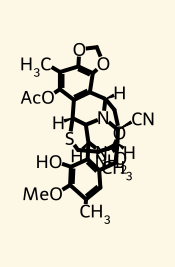 COc1c(C)cc2c(c1O)[C@@H]1C3[C@@H]4SCC(N)C(=O)OC[C@@H](c5c6c(c(C)c(OC(C)=O)c54)OCO6)N3[C@@H](C#N)[C@H](C2)N1C